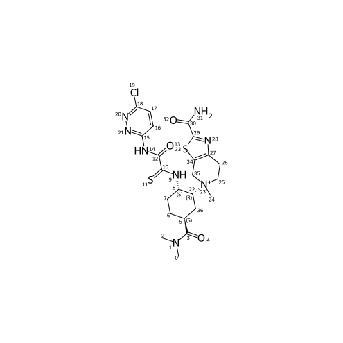 CN(C)C(=O)[C@H]1CC[C@H](NC(=S)C(=O)Nc2ccc(Cl)nn2)[C@H]([N+]2(C)CCc3nc(C(N)=O)sc3C2)C1